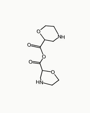 O=C(OC(=O)C1CNCCO1)C1CNCCO1